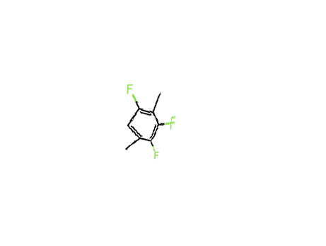 Cc1cc(F)c(C)c(F)c1F